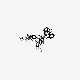 Cc1ccccc1-n1c(Cn2nc(-c3ccc4nc(N)sc4c3)c3c(N)ncnc32)cc2cccc(C)c2c1=O